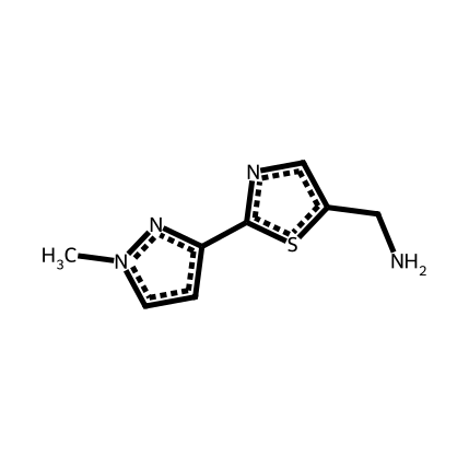 Cn1ccc(-c2ncc(CN)s2)n1